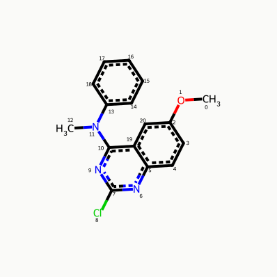 COc1ccc2nc(Cl)nc(N(C)c3ccccc3)c2c1